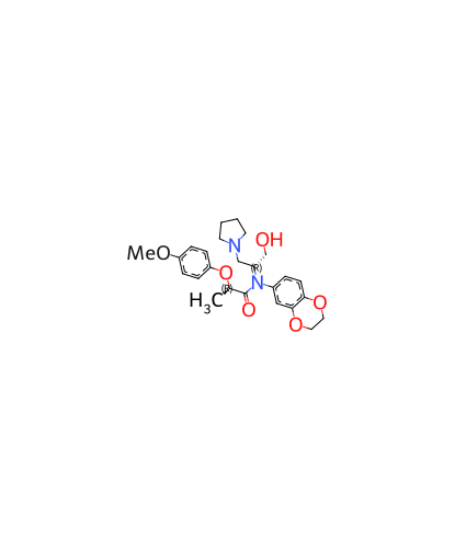 COc1ccc(O[C@H](C)C(=O)N(c2ccc3c(c2)OCCO3)[C@@H](CO)CN2CCCC2)cc1